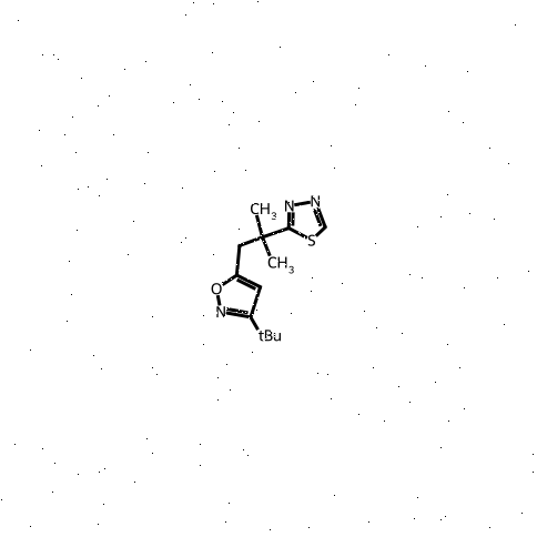 CC(C)(C)c1cc(CC(C)(C)c2nncs2)on1